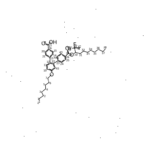 CCCCCCCCOc1ccc(-c2ccc(C(=O)O)cc2)c(-c2ccc(C(=O)OC(CCCCCCCC)C(F)(F)F)cc2)c1